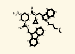 COCCCn1cc(CN(C(=O)[C@H]2C[C@@H](N)CN(C(=O)OCC3c4ccccc4-c4ccccc43)C2)C2CC2)c2ccccc21